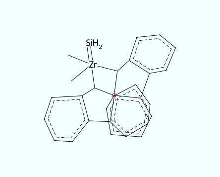 [CH3][Zr]([CH3])(=[SiH2])([CH]1c2ccccc2-c2ccccc21)[CH]1c2ccccc2-c2ccccc21